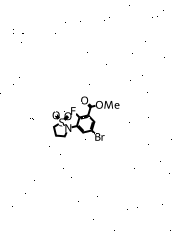 COC(=O)c1cc(Br)cc(N2CCCS2(=O)=O)c1F